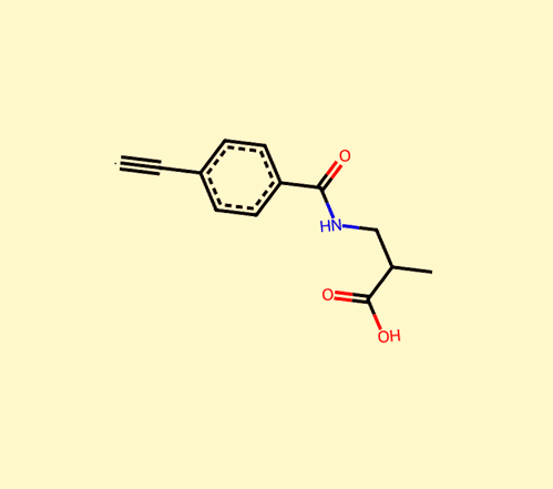 [C]#Cc1ccc(C(=O)NCC(C)C(=O)O)cc1